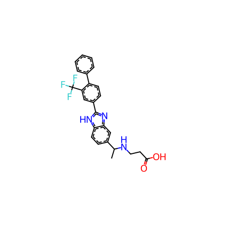 CC(NCCC(=O)O)c1ccc2[nH]c(-c3ccc(-c4ccccc4)c(C(F)(F)F)c3)nc2c1